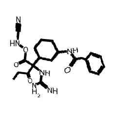 CCC(=O)C(NC(=N)N)(C(=O)ONC#N)C1CCCC(NC(=O)c2ccccc2)C1